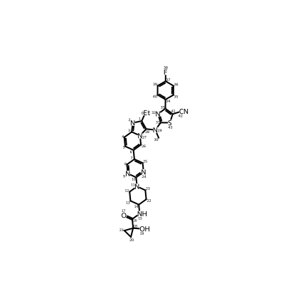 CCc1nc2ccc(-c3cnc(N4CCC(NC(=O)C5(O)CC5)CC4)nc3)cn2c1N(C)c1nc(-c2ccc(F)cc2)c(C#N)s1